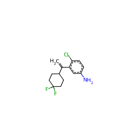 C=C(c1cc(N)ccc1Cl)C1CCC(F)(F)CC1